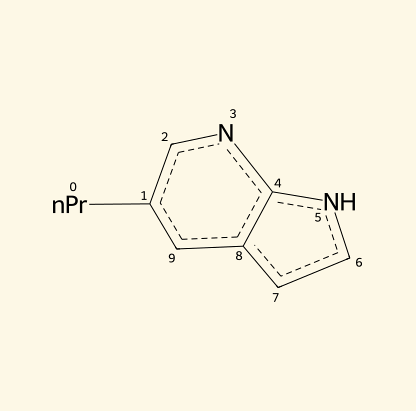 CCCc1cnc2[nH]ccc2c1